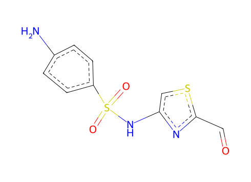 Nc1ccc(S(=O)(=O)Nc2csc(C=O)n2)cc1